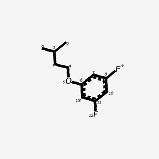 CC(C)CCOc1cc(F)cc(F)c1